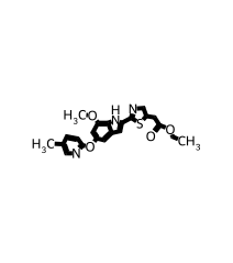 CCOC(=O)CC1CN=C(c2cc3cc(Oc4ccc(C)cn4)cc(OC)c3[nH]2)S1